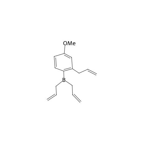 C=CCB(CC=C)c1ccc(OC)cc1CC=C